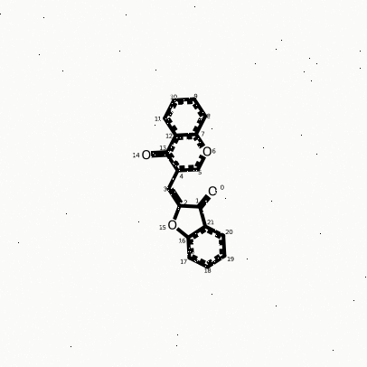 O=C1/C(=C\c2coc3ccccc3c2=O)Oc2ccccc21